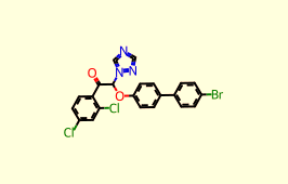 O=C(c1ccc(Cl)cc1Cl)C(Oc1ccc(-c2ccc(Br)cc2)cc1)n1cncn1